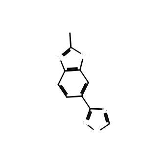 Cc1nc2ccc(-c3ncon3)cc2[nH]1